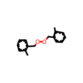 Cc1ccccc1COOCc1ccccc1C